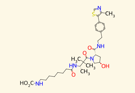 Cc1ncsc1-c1ccc(CCNC(=O)[C@@H]2C[C@@H](O)CN2C(=O)C(C)(C)[C@H](C)NC(=O)CCCCCCCNC(=O)O)cc1